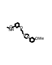 COc1cccc(N2CCN(CCCOc3cccc(-c4nnc(C)o4)c3)CC2)c1